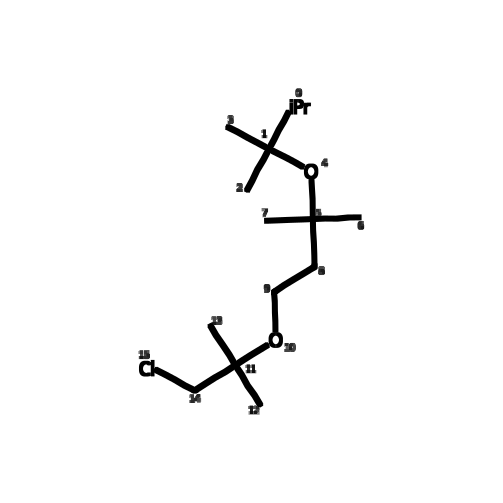 CC(C)C(C)(C)OC(C)(C)CCOC(C)(C)CCl